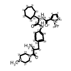 CC(C)n1nccc1C(=O)N[C@H](C(=O)Nc1ccc(CC(N)C(=O)N2CCN(C)CC2)cc1)C1CCCCCC1